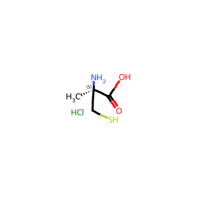 C[C@@](N)(CS)C(=O)O.Cl